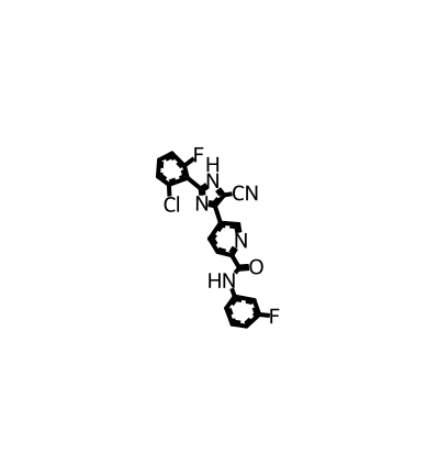 N#Cc1[nH]c(-c2c(F)cccc2Cl)nc1-c1ccc(C(=O)Nc2cccc(F)c2)nc1